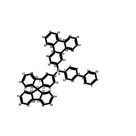 c1ccc(-c2ccc(N(c3ccc4c(c3)-c3ccccc3C43c4ccccc4-c4ccccc43)c3ccc4c5ccccc5c5ccccc5c4c3)cc2)cc1